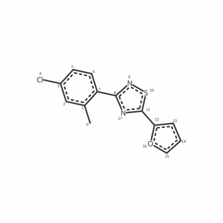 Cc1cc(Cl)ccc1-c1nsc(-c2ccco2)n1